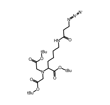 CC(C)(C)OC(=O)CN(CC(=O)OC(C)(C)C)C(CCCCNC(=O)CCN=[N+]=[N-])C(=O)OC(C)(C)C